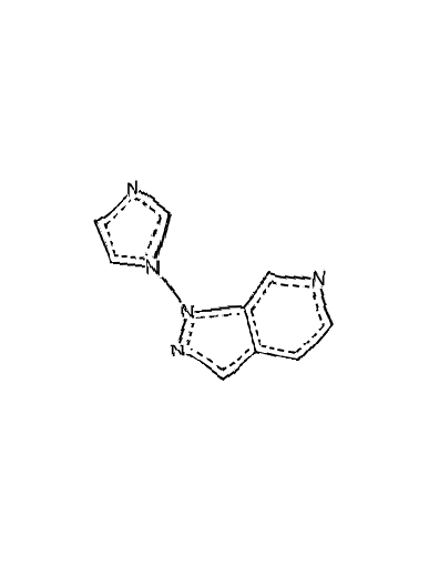 c1cc2cnn(-n3ccnc3)c2cn1